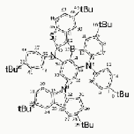 CC(C)(C)c1ccc(N2c3ccc(C(C)(C)C)cc3B3c4c2cc(-n2c5ccc(C(C)(C)C)cc5c5cc(C(C)(C)C)ccc52)cc4N(c2ccc(C(C)(C)C)cc2)c2sc4ccc(C(C)(C)C)cc4c23)cc1